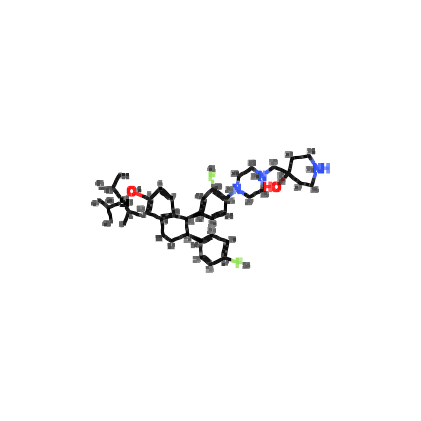 CC(C)[Si](Oc1ccc2c(c1)CC[C@H](c1ccc(F)cc1)[C@@H]2c1ccc(N2CCN(CC3(O)CCNCC3)CC2)c(F)c1)(C(C)C)C(C)C